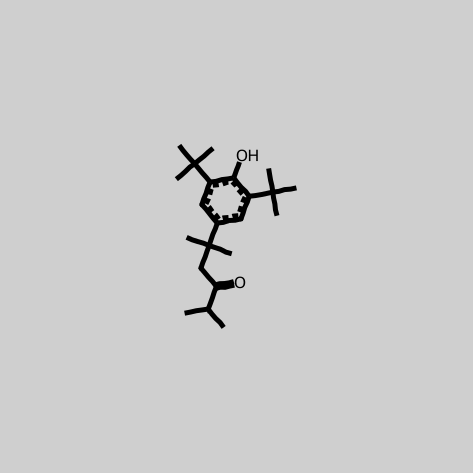 C[C](C)C(=O)CC(C)(C)c1cc(C(C)(C)C)c(O)c(C(C)(C)C)c1